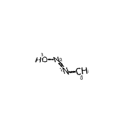 [CH]/N=N/O